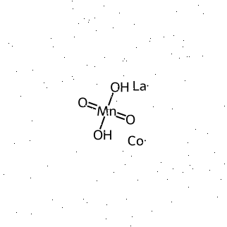 [Co].[La].[O]=[Mn](=[O])([OH])[OH]